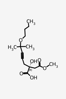 CCCCOC(C)(C)C#CC[C@@](O)(CC(=O)OC)C(=O)O